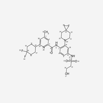 Cc1cc(C(=O)Nc2ccc(NS(=O)(=O)CCO)cc2N2CCC3(CC2)CC3)nc(C2CCC(F)(F)CC2)c1